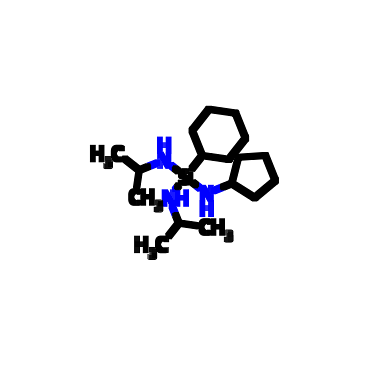 CC(C)N[Si](NC(C)C)(NC1CCCC1)C1CCCCC1